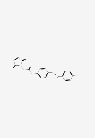 Nc1ccc(/N=N/c2ccc(NC(=O)CN3C(=O)C=CC3=O)cc2)cc1